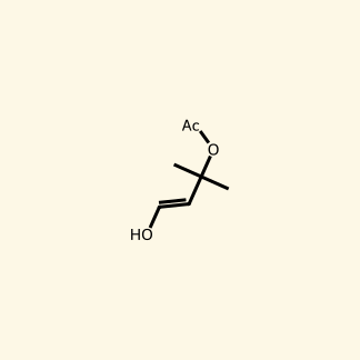 CC(=O)OC(C)(C)C=CO